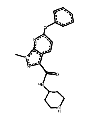 Cn1nc(C(=O)NC2CCNCC2)c2ccc(Oc3ccccc3)nc21